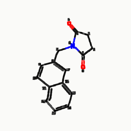 O=C1CCC(=O)N1Cc1ccc2ccccc2c1